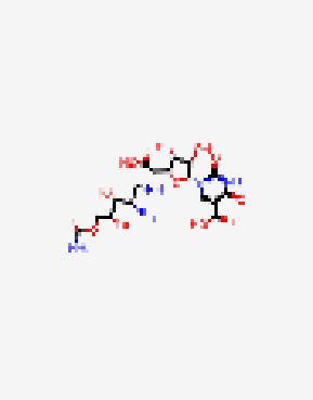 NC(=O)OC[C@H](O)[C@@H](O)[C@H](N)CN[C@H](C(=O)O)[C@H]1O[C@@H](n2cc(C(=O)O)c(=O)[nH]c2=O)[C@H](O)[C@@H]1O